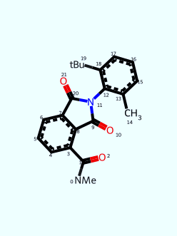 CNC(=O)c1cccc2c1C(=O)N(c1c(C)cccc1C(C)(C)C)C2=O